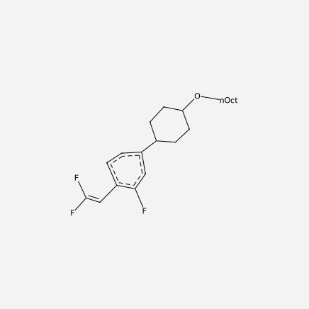 CCCCCCCCOC1CCC(c2ccc(C=C(F)F)c(F)c2)CC1